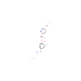 CCOCCCNC(=O)c1ccc(S(=O)(=O)NC(=O)c2ccc(OC(=O)OC(C)C)nc2)c(Cl)c1